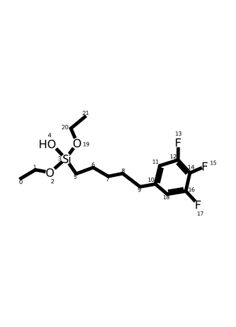 CCO[Si](O)(CCCCCc1cc(F)c(F)c(F)c1)OCC